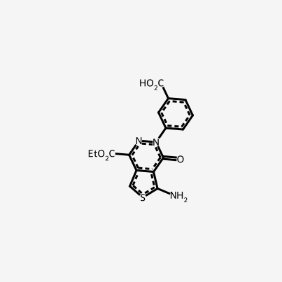 CCOC(=O)c1nn(-c2cccc(C(=O)O)c2)c(=O)c2c(N)scc12